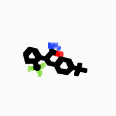 CC(C)(C)c1ccc(CC(C(N)=O)c2ccccc2C(F)(F)F)cc1